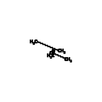 CCCCCCCCCCCCCCC(CCCCC)COC(=O)C(C)CCCCCCCCCC